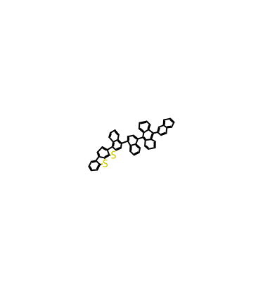 c1ccc2cc(-c3c4ccccc4c(-c4ccc(-c5cc6sc7c(ccc8c9ccccc9sc87)c6c6ccccc56)c5ccccc45)c4ccccc34)ccc2c1